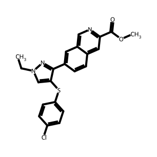 CCn1cc(Sc2ccc(Cl)cc2)c(-c2ccc3cc(C(=O)OC)ncc3c2)n1